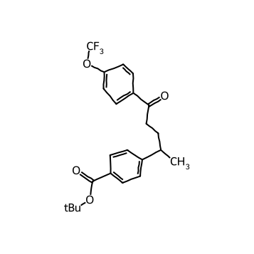 CC(CCC(=O)c1ccc(OC(F)(F)F)cc1)c1ccc(C(=O)OC(C)(C)C)cc1